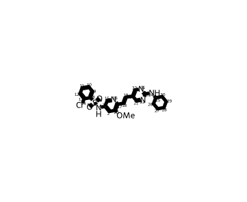 COc1cc(NS(=O)(=O)c2ccccc2Cl)cnc1/C=C/c1cnc(NC2CCCCC2)nc1